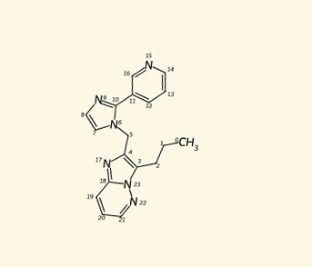 CCCc1c(Cn2ccnc2-c2cccnc2)nc2cccnn12